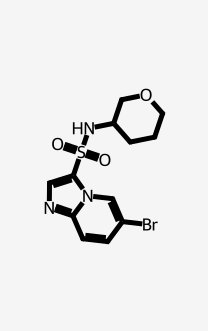 O=S(=O)(NC1CCCOC1)c1cnc2ccc(Br)cn12